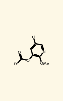 CCC(=O)Oc1cc(Cl)cnc1OC